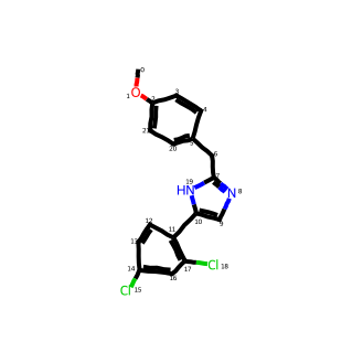 COc1ccc(Cc2ncc(-c3ccc(Cl)cc3Cl)[nH]2)cc1